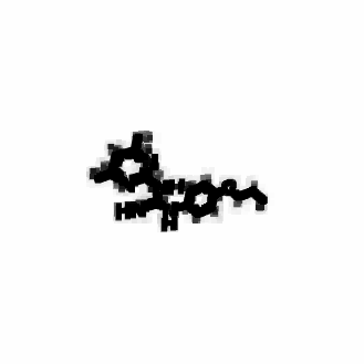 CCCOc1ccc(NC(=N)Nc2nc(C)cc(C)n2)cc1